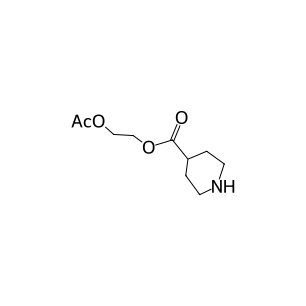 CC(=O)OCCOC(=O)C1CCNCC1